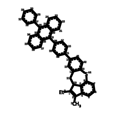 CCC1=C(C)c2cccc3c2C1Cc1cc(-c2ccc(-c4c5ccccc5c(-c5ccccc5)c5ccccc45)cc2)ccc1S3